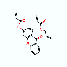 C=CC(=O)Oc1ccc(C(=O)c2ccccc2)c(O)c1.C=CCOC(=O)C=C